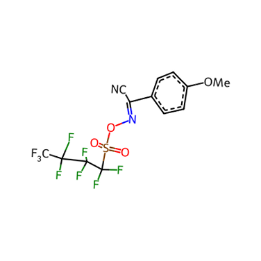 COc1ccc(/C(C#N)=N/OS(=O)(=O)C(F)(F)C(F)(F)C(F)(F)C(F)(F)F)cc1